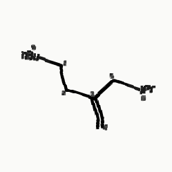 [CH2]CCCCCC(=C)CC(C)C